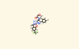 Cc1ccc(C2=NN(C(=O)N[C@H](C)c3ccc(C(F)(F)F)cc3)C[C@H]2N2CCOCC2=O)cc1